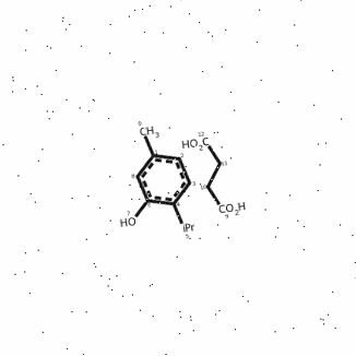 Cc1ccc(C(C)C)c(O)c1.O=C(O)CCC(=O)O